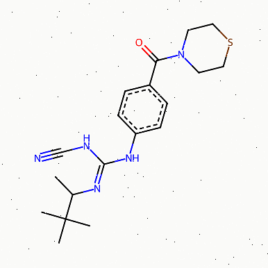 CC(/N=C(\NC#N)Nc1ccc(C(=O)N2CCSCC2)cc1)C(C)(C)C